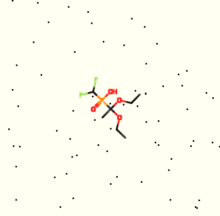 CCOC(C)(OCC)P(=O)(O)C(F)F